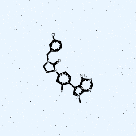 Cn1cc(-c2ccc(N3CCN(Cc4cccc(Cl)c4)C3=O)cc2F)c2c(N)ncnc21